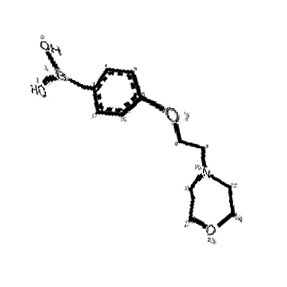 OB(O)c1ccc(OCCN2CCOCC2)cc1